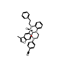 Cc1coc2ccc(S(=O)(=O)N(CCc3ccccc3)c3ccccc3N3CCN(c4ccc(C#N)cc4)CC3)cc12